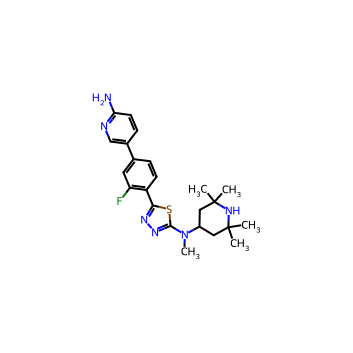 CN(c1nnc(-c2ccc(-c3ccc(N)nc3)cc2F)s1)C1CC(C)(C)NC(C)(C)C1